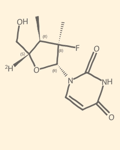 [2H][C@]1(CO)O[C@@H](n2ccc(=O)[nH]c2=O)[C@](C)(F)[C@@H]1C